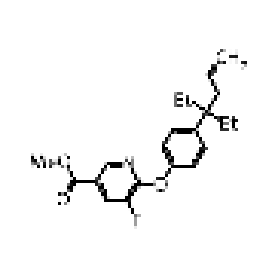 C=CCC(CC)(CC)c1ccc(Oc2ncc(C(=O)OC)cc2F)cc1